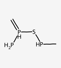 C=[PH](P)SPC